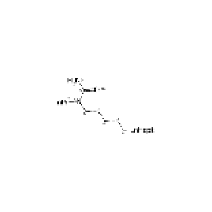 CCCCCCCCCCCCN(CCC)C(N)=O